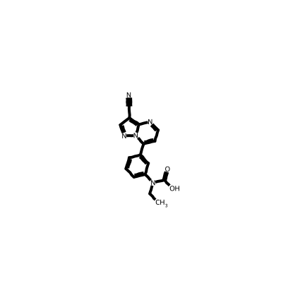 CCN(C(=O)O)c1cccc(-c2ccnc3c(C#N)cnn23)c1